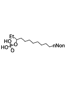 CCCCCCCCCCCCCCCCCC(CC)OP(=O)(O)O